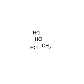 Cl.Cl.Cl.O